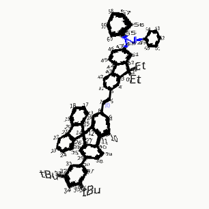 CCC1(CC)c2cc(/C=C/c3ccc4c(c3)C3(c5ccccc5-c5ccccc53)c3cc(-c5cc(C(C)(C)C)cc(C(C)(C)C)c5)ccc3-4)ccc2-c2ccc(N(c3ccccc3)c3ccccc3)cc21